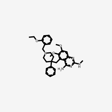 CCOc1ccccc1CN1CCC(Cc2c(OC)c(OC)cc3nc(NC)nc(N)c23)(c2ccccc2)CC1